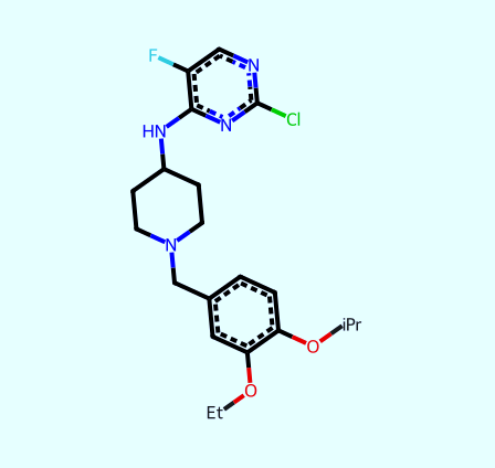 CCOc1cc(CN2CCC(Nc3nc(Cl)ncc3F)CC2)ccc1OC(C)C